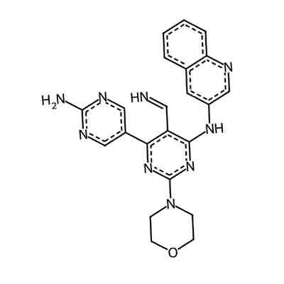 N=Cc1c(Nc2cnc3ccccc3c2)nc(N2CCOCC2)nc1-c1cnc(N)nc1